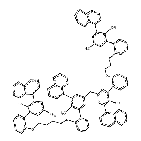 Cc1cc(-c2ccccc2SCCCCSc2ccccc2-c2cc(Cc3cc(-c4ccccc4SCCSc4ccccc4-c4cc(C)cc(-c5cccc6ccccc56)c4O)c(O)c(-c4cccc5ccccc45)c3)cc(-c3cccc4ccccc34)c2O)c(O)c(-c2cccc3ccccc23)c1